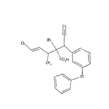 C#CC(c1cccc(Oc2ccccc2)c1)C(C(=O)O)(C(C)C)C(C=CCl)C(F)(F)F